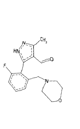 Cc1n[nH]c(-c2c(F)cccc2CN2CCOCC2)c1C=O